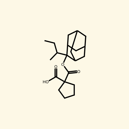 CCC(C)C1(OC(=O)C2(C(=O)O)CCCC2)C2CC3CC(C2)CC1C3